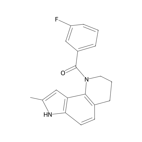 Cc1cc2c3c(ccc2[nH]1)CCCN3C(=O)c1cccc(F)c1